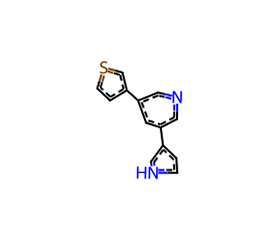 c1cc(-c2cncc(-c3ccsc3)c2)c[nH]1